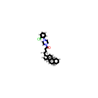 C[C@H](CCC(=O)N1CCN(c2ccccc2Cl)CC1)[C@H]1CC[C@H]2[C@@H]3CC[C@@H]4CCCC[C@]4(C)[C@H]3CC[C@]12C